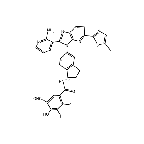 Cc1cnc(-c2ccc3nc(-c4cccnc4N)n(-c4ccc5c(c4)CC[C@@H]5NC(=O)c4cc(C=O)c(O)c(F)c4F)c3n2)s1